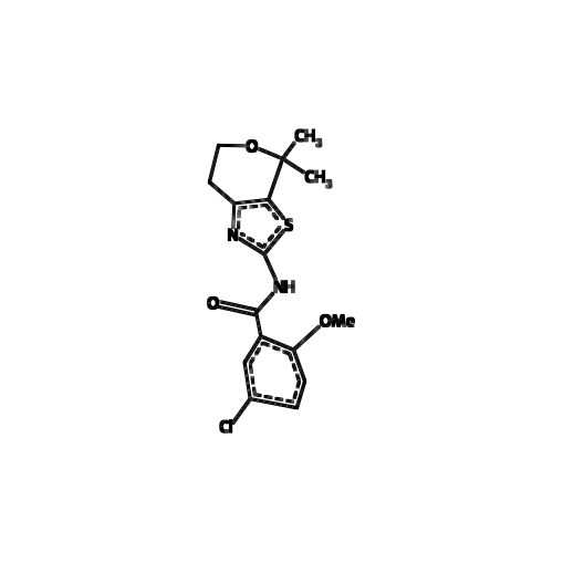 COc1ccc(Cl)cc1C(=O)Nc1nc2c(s1)C(C)(C)OCC2